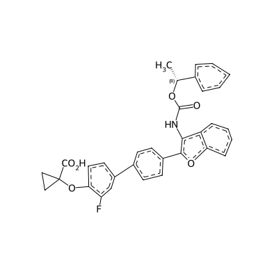 C[C@@H](OC(=O)Nc1c(-c2ccc(-c3ccc(OC4(C(=O)O)CC4)c(F)c3)cc2)oc2ccccc12)c1ccccc1